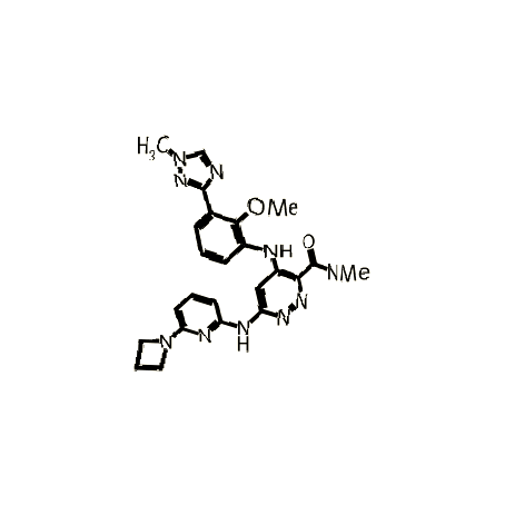 CNC(=O)c1nnc(Nc2cccc(N3CCC3)n2)cc1Nc1cccc(-c2ncn(C)n2)c1OC